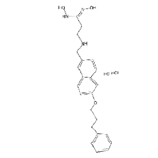 Cl.Cl.O/N=C(\CCNCc1ccc2cc(OCCCc3ccccc3)ccc2c1)NO